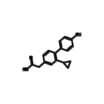 O=C(O)Cc1ccc(-c2ccc(O)cc2)c(C2CC2)c1